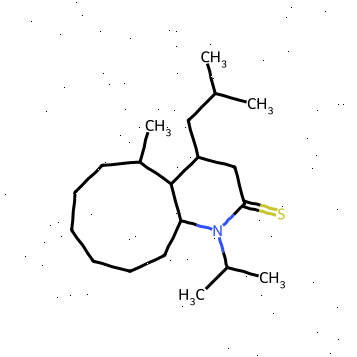 CC(C)CC1CC(=S)N(C(C)C)C2CCCCCCC(C)C12